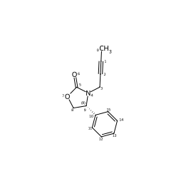 CC#CCN1C(=O)OC[C@H]1c1ccccc1